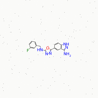 Nc1n[nH]c2ccc(-c3nnc(NCc4cccc(F)c4)o3)cc12